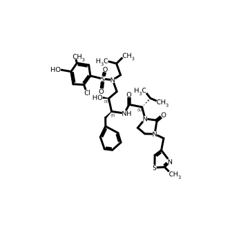 Cc1nc(CN2CCN([C@H](C(=O)N[C@@H](Cc3ccccc3)[C@@H](O)CN(CC(C)C)S(=O)(=O)c3cc(C)c(O)cc3Cl)C(C)C)C2=O)cs1